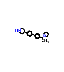 C[C@@H](c1ccc(-c2ccc(C3CCNCC3)cc2)cc1)N1CCCC1